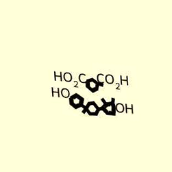 CC1(C(=O)O)C=CC=C(C(=O)O)C1.Cc1c(O)ccc(C2CCC(C)(c3ccc(O)cc3)CC2)c1C